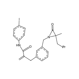 C=C(Cc1cccc(CN2C(=O)C2(C)CC(C)C)c1)C(=O)Nc1ccc(I)cc1